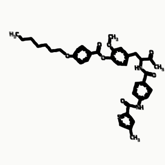 CCCCCCCOc1ccc(C(=O)Oc2ccc(CC(NC(=O)c3ccc(NC(=O)c4cc(C)cs4)cc3)C(C)=O)cc2OC)cc1